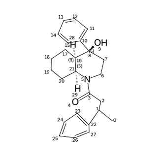 CC(CC(=O)N1CC[C@@](O)(c2ccccc2)[C@@H]2CCCC[C@@H]21)c1ccccc1